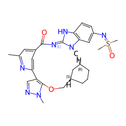 Cc1cc2cc(n1)-c1cnn(C)c1OC[C@H]1CCC[C@H](C1)CN1/C(=N/C2=O)Nc2ccc(N=S(C)(C)=O)cc21